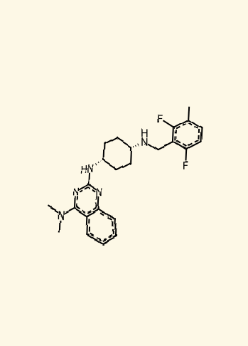 Cc1ccc(F)c(CN[C@H]2CC[C@@H](Nc3nc(N(C)C)c4ccccc4n3)CC2)c1F